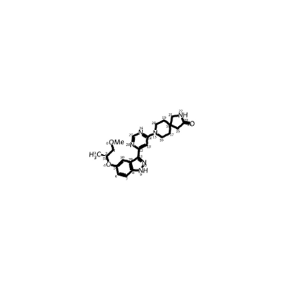 COC[C@H](C)Oc1ccc2[nH]nc(-c3cc(N4CCC5(CC4)CNC(=O)C5)ncn3)c2c1